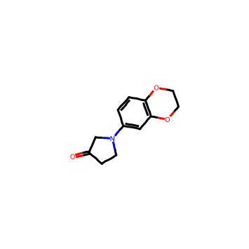 O=C1CCN(c2ccc3c(c2)OCCO3)C1